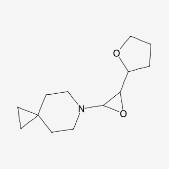 C1COC(C2OC2N2CCC3(CC2)CC3)C1